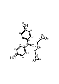 C(OCC1CO1)C1CO1.O=C(c1ccc(O)cc1)c1ccc(O)cc1